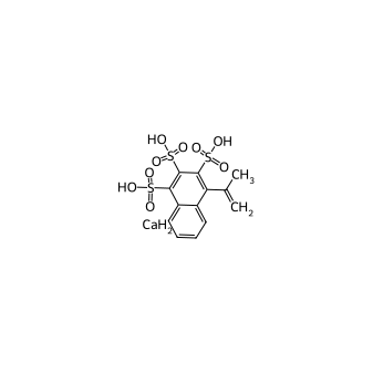 C=C(C)c1c(S(=O)(=O)O)c(S(=O)(=O)O)c(S(=O)(=O)O)c2ccccc12.[CaH2]